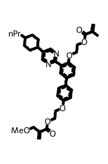 C=C(C)C(=O)OCCOc1ccc(-c2ccc(OCCOC(=O)C(=C)COC)cc2)cc1-c1ncc(C2CCC(CCC)CC2)cn1